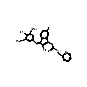 COc1cc(/C=C2/C(C)=C(CC(=O)NCc3ccccn3)c3cc(F)ccc32)cc(OC)c1O